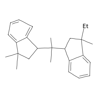 CCC1(C)CC(C(C)(C)C2CC(C)(C)c3ccccc32)c2ccccc21